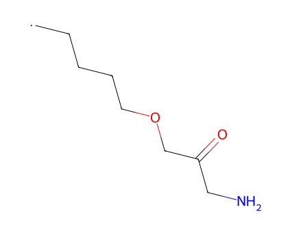 [CH2]CCCCOCC(=O)CN